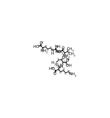 CC(C)C(N)C(=O)O.CCC(C)C(N)C(=O)O.N=C(N)NCCCC(N)C(=O)O.NCCCCC(N)C(=O)O